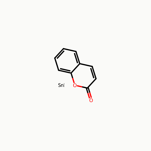 O=c1ccc2ccccc2o1.[Sn]